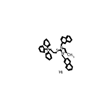 Cc1cn(Cc2ccc3ccccc3c2)c(SCCC[PH](c2ccccc2)(c2ccccc2)c2ccccc2)[n+]1Cc1ccc2ccccc2c1.I